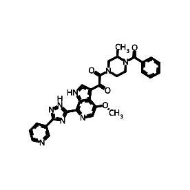 COc1cnc(-c2nc(-c3cccnc3)n[nH]2)c2[nH]cc(C(=O)C(=O)N3CCN(C(=O)c4ccccc4)C(C)C3)c12